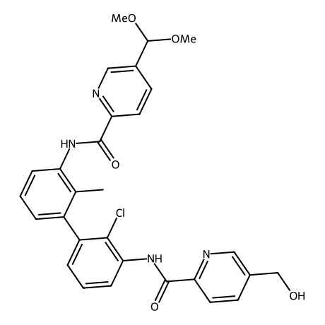 COC(OC)c1ccc(C(=O)Nc2cccc(-c3cccc(NC(=O)c4ccc(CO)cn4)c3Cl)c2C)nc1